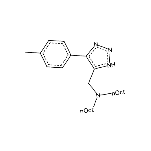 CCCCCCCCN(CCCCCCCC)Cc1[nH]nnc1-c1ccc(C)cc1